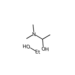 CC(O)N(C)C.CCO